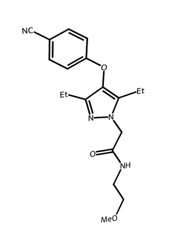 CCc1nn(CC(=O)NCCOC)c(CC)c1Oc1ccc(C#N)cc1